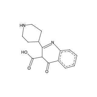 O=C(O)C1C(=O)c2ccccc2N=C1C1CCNCC1